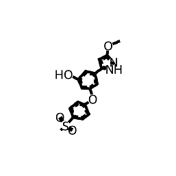 COc1cc(-c2cc(O)cc(Oc3ccc(S(C)(=O)=O)cc3)c2)[nH]n1